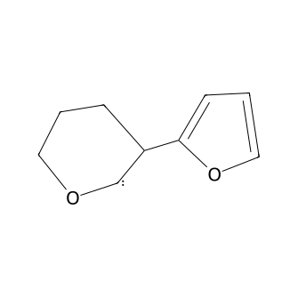 [C]1OCCCC1c1ccco1